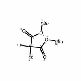 CCCCOC(=O)C(F)(CC)C(=O)OCCCC